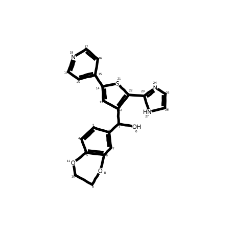 OC(c1ccc2c(c1)OCCO2)c1cc(-c2ccncc2)sc1-c1ncc[nH]1